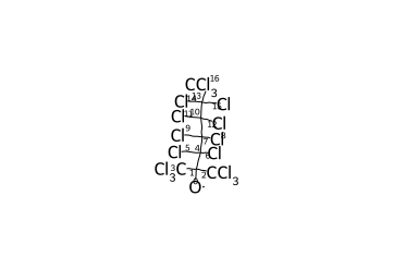 [O]C(C(Cl)(Cl)Cl)(C(Cl)(Cl)Cl)C(Cl)(Cl)C(Cl)(Cl)C(Cl)(Cl)C(Cl)(Cl)C(Cl)(Cl)Cl